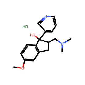 COc1ccc2c(c1)CC(CN(C)C)C2(O)c1cccnc1.Cl